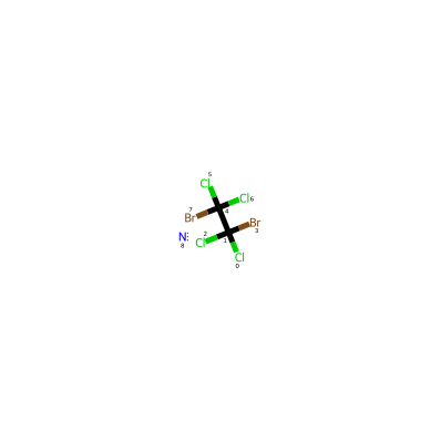 ClC(Cl)(Br)C(Cl)(Cl)Br.[N]